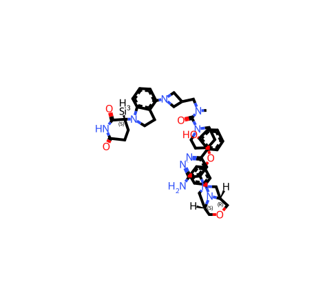 CN(CC1CN(c2cccc3c2CCN3[C@]2([SiH3])CCC(=O)NC2=O)C1)C(=O)N1CCC(Oc2cccc(N3[C@@H]4COC[C@H]3CN(c3cc(-c5ccccc5O)nnc3N)C4)c2)CC1